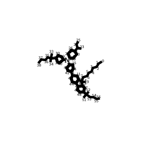 CCCCCCCCC1(I)c2cc(-c3ccc(N(c4ccc(C(C)CC)cc4)c4ccc(C(C)(C)CCCC)cc4)cc3)ccc2-c2ccc(C(C)(C)CCCC)cc21